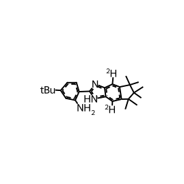 [2H]c1c2c(c([2H])c3[nH]c(-c4ccc(C(C)(C)C)cc4N)nc13)C(C)(C)C(C)(C)C2(C)C